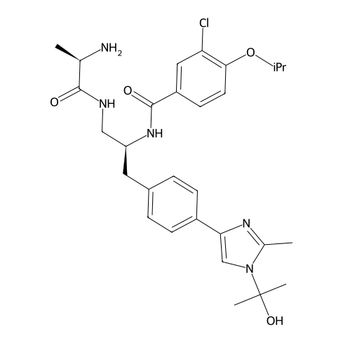 Cc1nc(-c2ccc(C[C@@H](CNC(=O)[C@@H](C)N)NC(=O)c3ccc(OC(C)C)c(Cl)c3)cc2)cn1C(C)(C)O